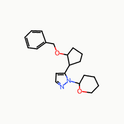 c1ccc(COC2CCCC2c2ccnn2C2CCCCO2)cc1